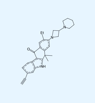 C#Cc1ccc2c3c([nH]c2c1)C(C)(C)c1cc(N2CC(N4CCCCC4)C2)c(CC)cc1C3=O